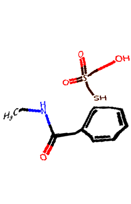 CNC(=O)c1ccccc1.O=S(=O)(O)S